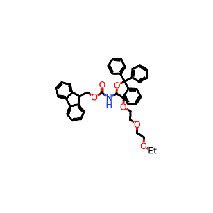 CCOCCOCCOCC(NC(=O)OCC1c2ccccc2-c2ccccc21)OC(c1ccccc1)(c1ccccc1)c1ccccc1